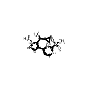 CC(c1c(-c2ccnc(S(C)(=O)=O)n2)cnn1C)C1CC1